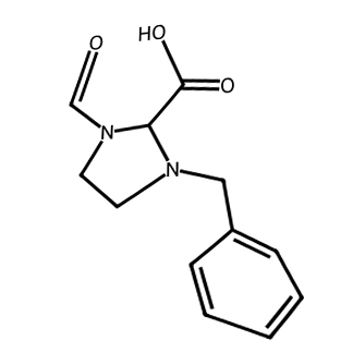 O=CN1CCN(Cc2ccccc2)C1C(=O)O